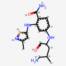 Cc1cc(Nc2cc(NC(C=O)CC(C)CN)ccc2C(N)=O)sn1